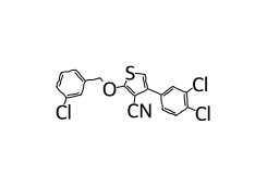 N#Cc1c(-c2ccc(Cl)c(Cl)c2)csc1OCc1cccc(Cl)c1